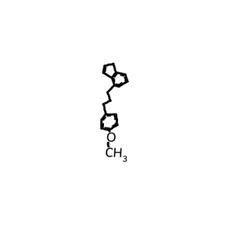 CCOc1ccc(CCCc2cccc3c2C=CC3)cc1